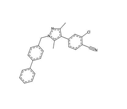 Cc1nn(Cc2ccc(-c3ccccc3)cc2)c(C)c1-c1ccc(C#N)c(Cl)c1